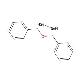 [SeH][SeH].c1ccc(COCc2ccccc2)cc1